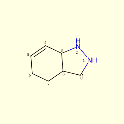 [C]1NNC2C=CCCC12